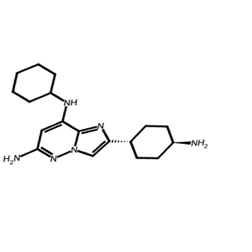 Nc1cc(NC2CCCCC2)c2nc([C@H]3CC[C@H](N)CC3)cn2n1